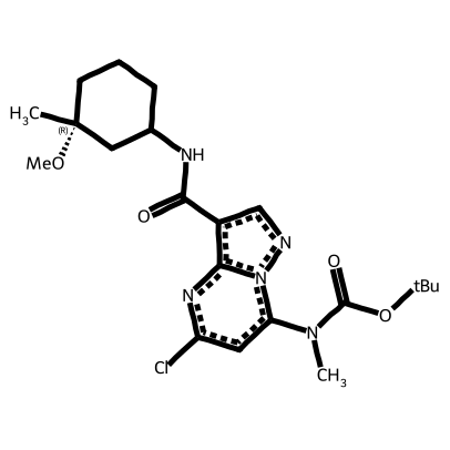 CO[C@]1(C)CCCC(NC(=O)c2cnn3c(N(C)C(=O)OC(C)(C)C)cc(Cl)nc23)C1